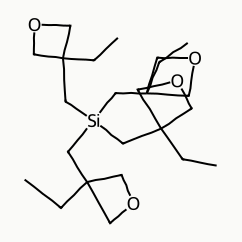 CCC1(C[Si](CC2(CC)COC2)(CC2(CC)COC2)CC2(CC)COC2)COC1